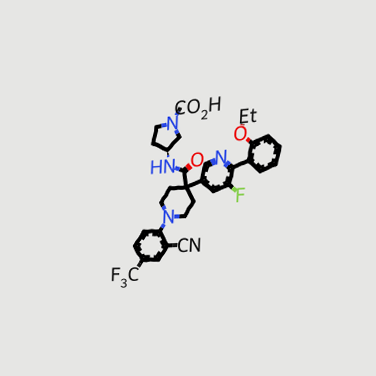 CCOc1ccccc1-c1ncc(C2(C(=O)N[C@@H]3CCN(C(=O)O)C3)CCN(c3ccc(C(F)(F)F)cc3C#N)CC2)cc1F